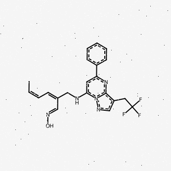 C\C=C/C=C(\C=N\O)CNc1cc(-c2ccccc2)nc2c(CC(F)(F)F)cnn12